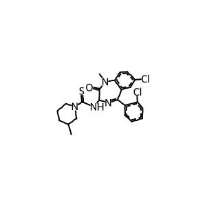 CC1CCCN(C(=S)NC2N=C(c3ccccc3Cl)c3cc(Cl)ccc3N(C)C2=O)C1